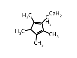 CC1=C(C)C(C)C(C)=C1C.[CaH2]